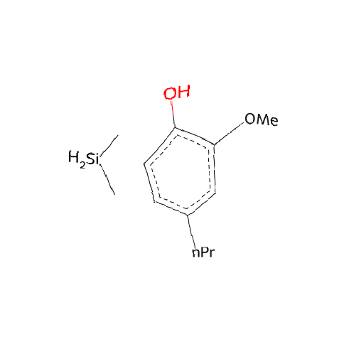 CCCc1ccc(O)c(OC)c1.C[SiH2]C